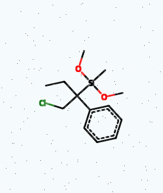 CCC(CCl)(c1ccccc1)[Si](C)(OC)OC